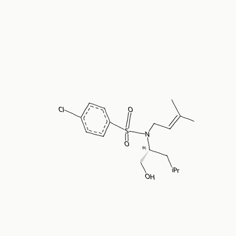 CC(C)=CCN([C@@H](CO)CC(C)C)S(=O)(=O)c1ccc(Cl)cc1